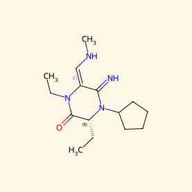 CC[C@@H]1C(=O)N(CC)/C(=C/NC)C(=N)N1C1CCCC1